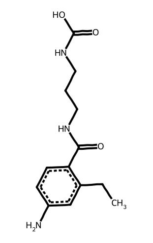 CCc1cc(N)ccc1C(=O)NCCCNC(=O)O